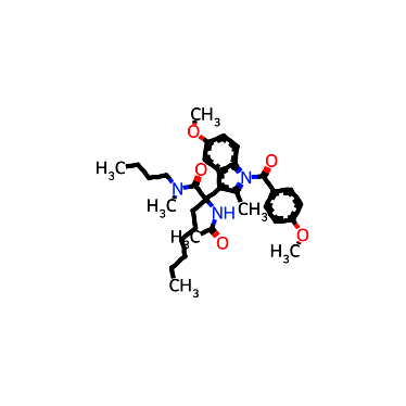 CCCCCCC(NC(C)=O)(C(=O)N(C)CCCC)c1c(C)n(C(=O)c2ccc(OC)cc2)c2ccc(OC)cc12